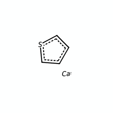 [Ca].c1ccsc1